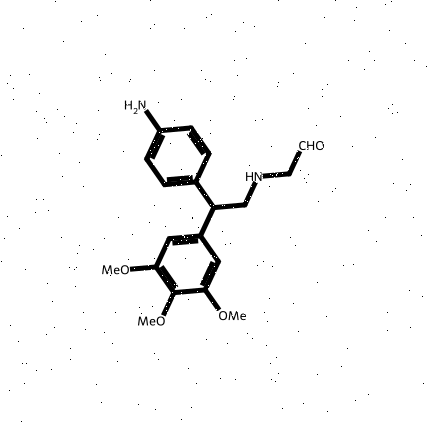 COc1cc(C(CNCC=O)c2ccc(N)cc2)cc(OC)c1OC